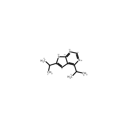 CC(C)c1cc2c(C(C)C)ncnc2s1